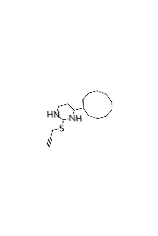 C#CCSC1NCCC(C2CCCCCCCCC2)N1